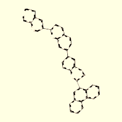 c1ccc2ncc(-c3ccc4ccc(-c5ccc6nc(-c7cc8ccccc8c8ccccc78)ccc6c5)cc4n3)cc2c1